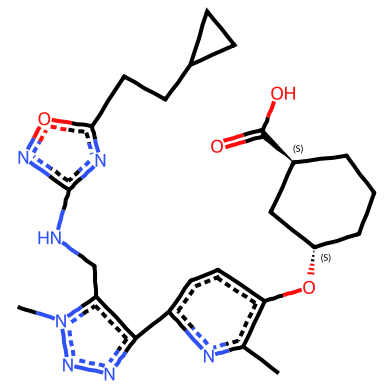 Cc1nc(-c2nnn(C)c2CNc2noc(CCC3CC3)n2)ccc1O[C@H]1CCC[C@H](C(=O)O)C1